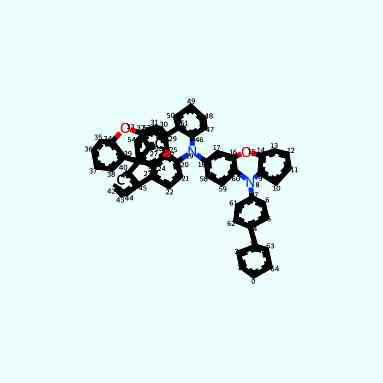 c1ccc(-c2ccc(N3c4ccccc4Oc4cc(N(c5ccc6c(c5)C5(c7ccccc7Oc7ccccc75)c5ccccc5-6)c5ccccc5-c5ccccc5)ccc43)cc2)cc1